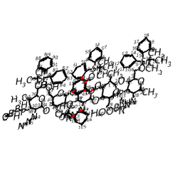 CC1[C@H](O[C@@H]2C(CO[Si](c3ccccc3)(c3ccccc3)C(C)(C)C)O[C@@H](C)C(N=[N+]=[N-])[C@H]2PBB=O)OC(CO)[C@@H](O[C@@H]2OC(CO[Si](c3ccccc3)(c3ccccc3)C(C)(C)C)[C@@H](O[C@@H]3OC(CO)[C@@H](O[C@@H]4OC(CO[Si](c5ccccc5)(c5ccccc5)C(C)(C)C)[C@@H](C)[C@H](PBB=O)C4N=[N+]=[N-])[C@H](C)C3OC(=O)c3ccccc3)[C@H](C)C2N=[N+]=[N-])[C@H]1OCc1ccccc1